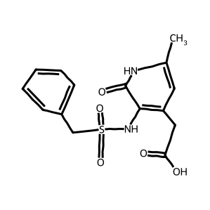 Cc1cc(CC(=O)O)c(NS(=O)(=O)Cc2ccccc2)c(=O)[nH]1